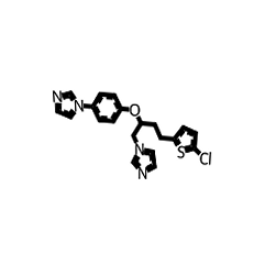 Clc1ccc(CCC(Cn2ccnc2)Oc2ccc(-n3ccnc3)cc2)s1